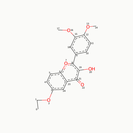 CCOc1ccc2oc(-c3ccc(OC)c(OC)c3)c(O)c(=O)c2c1